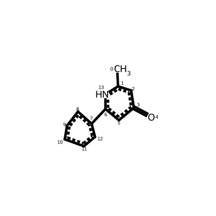 Cc1cc(=O)cc(-c2ccccc2)[nH]1